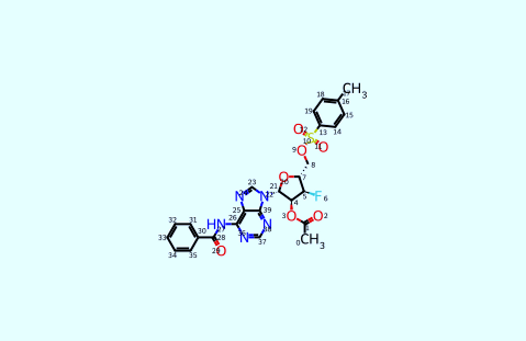 CC(=O)O[C@@H]1[C@H](F)[C@@H](COS(=O)(=O)c2ccc(C)cc2)O[C@H]1n1cnc2c(NC(=O)c3ccccc3)ncnc21